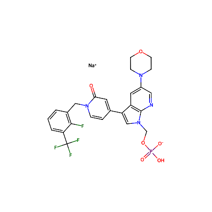 O=c1cc(-c2cn(COP(=O)([O-])O)c3ncc(N4CCOCC4)cc23)ccn1Cc1cccc(C(F)(F)F)c1F.[Na+]